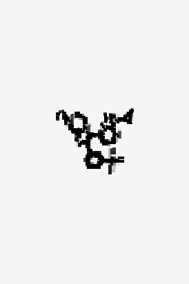 [O-][n+]1ccn2c(-c3ccnc(NC4CC4)n3)c(-c3cccc(C(F)(F)F)c3)nc2c1